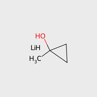 CC1(O)CC1.[LiH]